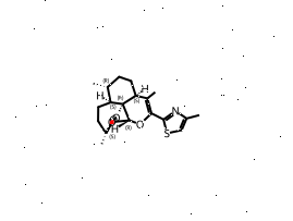 CC1=C(c2nc(C)cs2)O[C@@H]2O[C@]3(C)CC[C@H]4[C@H](C)CC[C@@H]1[C@@]24OO3